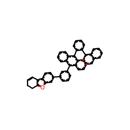 C1=Cc2c(oc3cc(-c4cccc(-c5c6ccccc6c(-c6ccccc6-c6cccc7ccccc67)c6ccccc56)c4)ccc23)CC1